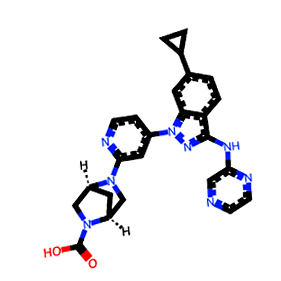 O=C(O)N1C[C@@H]2C[C@H]1CN2c1cc(-n2nc(Nc3cnccn3)c3ccc(C4CC4)cc32)ccn1